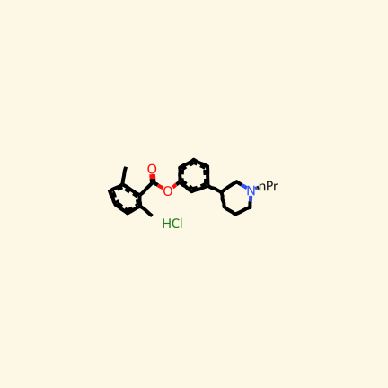 CCCN1CCCC(c2cccc(OC(=O)c3c(C)cccc3C)c2)C1.Cl